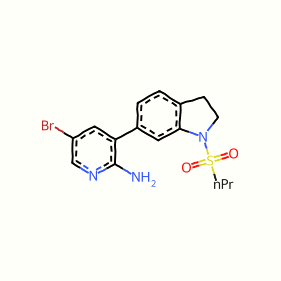 CCCS(=O)(=O)N1CCc2ccc(-c3cc(Br)cnc3N)cc21